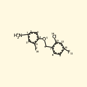 Nc1ccc(OCc2ccc(F)cc2Cl)c(F)c1